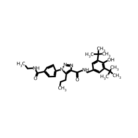 CCCc1c(C(=O)NCc2cc(C(C)(C)C)c(O)c(C(C)(C)C)c2)nnn1-c1ccc(C(=O)NCC)cc1